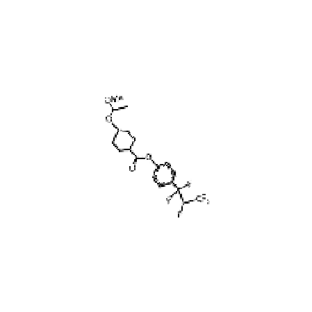 COC(C)OC1CCC(C(=O)Oc2ccc(C(F)(F)C(F)C(F)(F)F)cc2)CC1